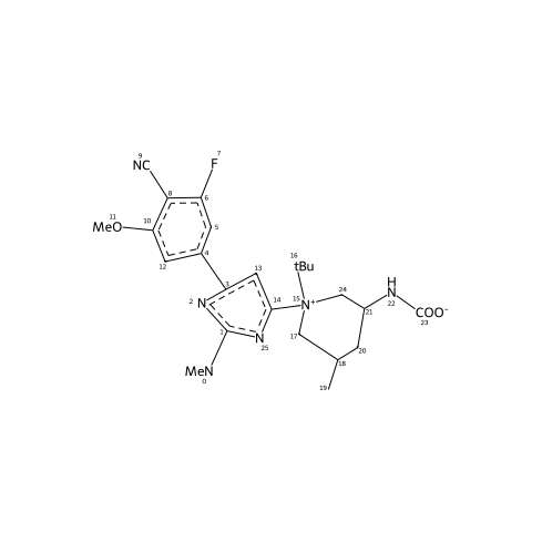 CNc1nc(-c2cc(F)c(C#N)c(OC)c2)cc([N+]2(C(C)(C)C)CC(C)CC(NC(=O)[O-])C2)n1